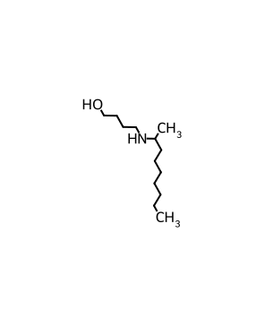 CCCCCCCC(C)NCCCCO